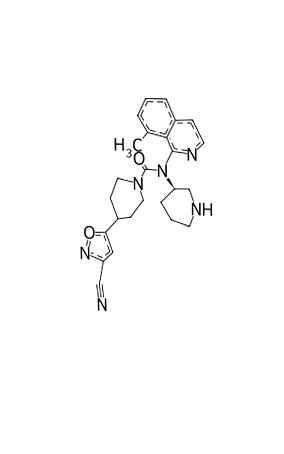 Cc1cccc2ccnc(N(C(=O)N3CCC(c4cc(C#N)no4)CC3)[C@@H]3CCCNC3)c12